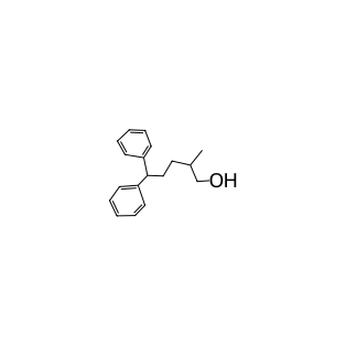 CC(CO)CCC(c1ccccc1)c1ccccc1